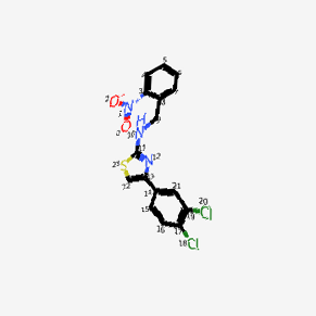 O=[N+]([O-])c1ccccc1CNc1nc(-c2ccc(Cl)c(Cl)c2)cs1